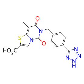 Cc1c(=O)n(Cc2ccc(-c3nn[nH]n3)cc2)c(=O)n2cc(C(=O)O)sc12